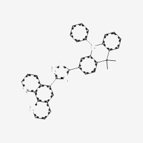 CC1(C)c2ccccc2N(c2ccccc2)c2cc(-c3nc(-c4cc5cccnc5c5ncccc45)ns3)ccc21